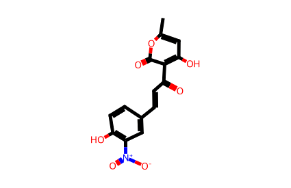 Cc1cc(O)c(C(=O)C=Cc2ccc(O)c([N+](=O)[O-])c2)c(=O)o1